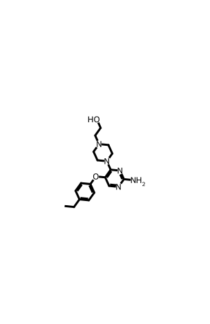 CCc1ccc(Oc2cnc(N)nc2N2CCN(CCO)CC2)cc1